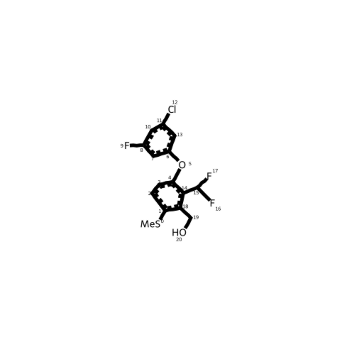 CSc1ccc(Oc2cc(F)cc(Cl)c2)c(C(F)F)c1CO